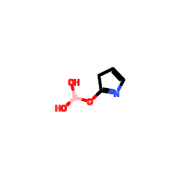 OB(O)OC1=NC=CC1